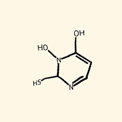 OC1=CC=NC(S)N1O